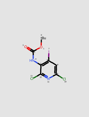 CC(C)(C)OC(=O)Nc1c(I)cc(Cl)nc1Cl